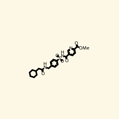 COC(=O)c1ccc(C(=O)NS(=O)(=O)c2ccc(CNC(=O)CC3CCCCC3)cc2)cn1